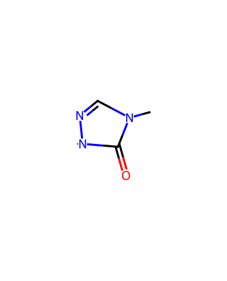 CN1C=N[N]C1=O